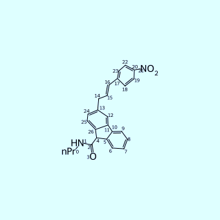 CCCNC(=O)C1c2ccccc2-c2cc(CC=Cc3ccc([N+](=O)[O-])cc3)ccc21